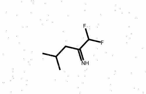 CC(C)CC(=N)[C](F)F